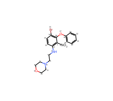 O=[N+]([O-])c1c(NCCN2CCOCC2)ccc(Br)c1Oc1ccccc1